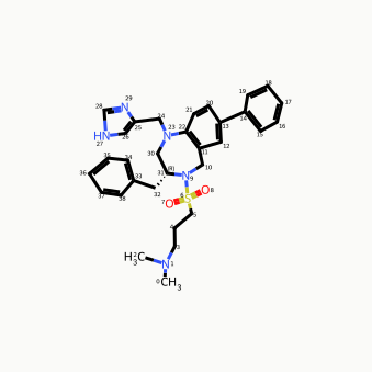 CN(C)CCCS(=O)(=O)N1Cc2cc(-c3ccccc3)ccc2N(Cc2c[nH]cn2)C[C@H]1Cc1ccccc1